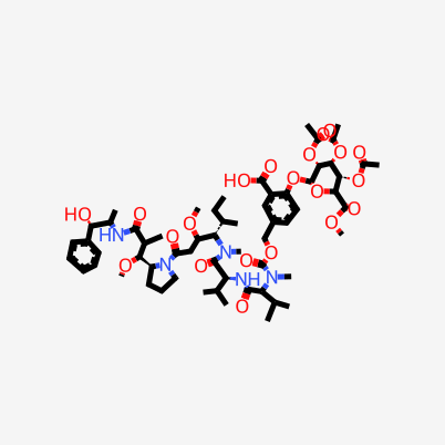 CCC(C)[C@@H](C(CC(=O)N1CCC[C@H]1C(OC)C(C)C(=O)NC(C)[C@@H](O)c1ccccc1)OC)N(C)C(=O)[C@@H](NC(=O)C(C(C)C)N(C)C(=O)OCc1ccc(OC2OC(C(=O)OC)[C@@H](OC(C)=O)[C@H](OC(C)=O)[C@H]2OC(C)=O)c(C(=O)O)c1)C(C)C